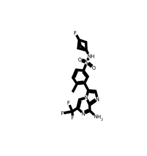 Cc1ccc(S(=O)(=O)NC23CC(F)(C2)C3)cc1-c1cnc2c(N)nc(C(F)(F)F)cn12